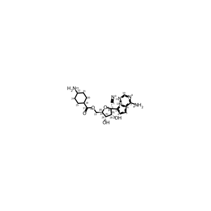 N#C[C@@]1(c2ccc3c(N)ncnn23)O[C@H](COC(=O)C2CCC(N)CC2)[C@@H](O)[C@H]1O